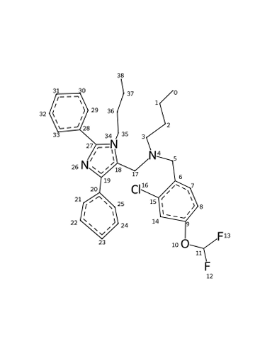 CCCCN(Cc1ccc(OC(F)F)cc1Cl)Cc1c(-c2ccccc2)nc(-c2ccccc2)n1CCCC